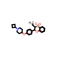 CCC1C(c2ccc(OC3CCN(C4CCC4)CC3)cc2)Oc2ccccc2S1(=O)=O